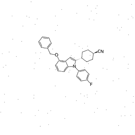 N#C[C@H]1CC[C@H](c2cc3c(OCc4ccccc4)cccc3n2-c2ccc(F)cc2)CC1